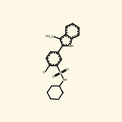 O=C(O)c1c(-c2ccc(Cl)c(S(=O)(=O)NC3CCCCC3)c2)[nH]c2ccccc12